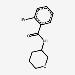 CC(C)c1ccccc1C(=O)NC1CCCOC1